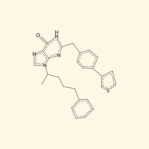 CC(CCCc1ccccc1)n1cnc2c(=O)[nH]c(Cc3ccc(-c4ccsc4)cc3)nc21